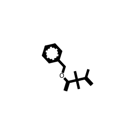 C=C(C)C(C)(C)C(=C)OCc1ccccc1